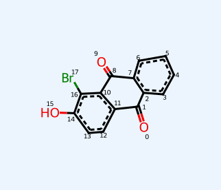 O=C1c2ccccc2C(=O)c2c1ccc(O)c2Br